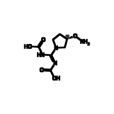 NO[C@H]1CCN(C(=NC(=O)O)NC(=O)O)C1